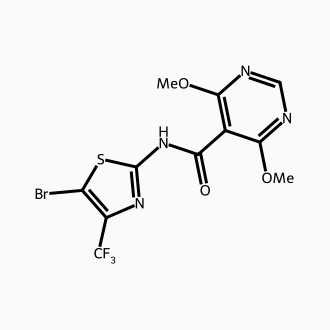 COc1ncnc(OC)c1C(=O)Nc1nc(C(F)(F)F)c(Br)s1